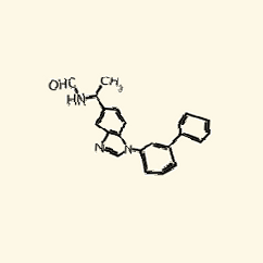 CC(NC=O)c1ccc2c(c1)ncn2-c1cccc(-c2ccccc2)c1